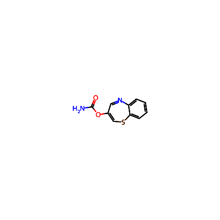 NC(=O)OC1=CSc2ccccc2N=C1